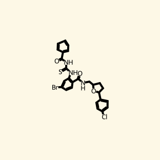 O=C(NC(=S)Nc1cc(Br)ccc1C(=O)NCC1CCC(c2ccc(Cl)cc2)O1)c1ccccc1